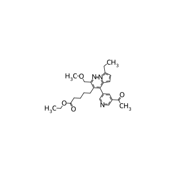 CCOC(=O)CCCCc1c(COC)nn2c(CC)ccc2c1-c1cncc(C(C)=O)c1